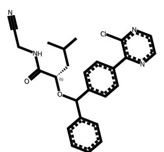 CC(C)C[C@H](OC(c1ccccc1)c1ccc(-c2nccnc2Cl)cc1)C(=O)NCC#N